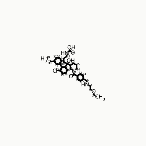 CCOCCNCc1ccc(C(=O)N2CCCC(C(O)(CCCNC(=O)O)c3cccc(Cl)c3-c3cccc(CC)c3)C2)cc1